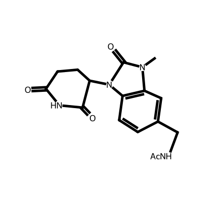 CC(=O)NCc1ccc2c(c1)n(C)c(=O)n2C1CCC(=O)NC1=O